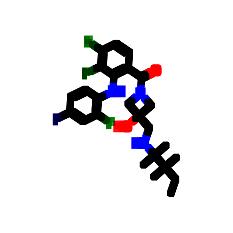 CCC(C)(C)C(C)(C)NCC1(O)CN(C(=O)c2ccc(F)c(F)c2Nc2ccc(I)cc2F)C1